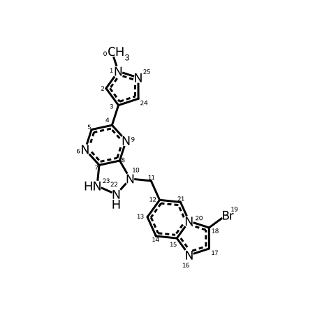 Cn1cc(-c2cnc3c(n2)N(Cc2ccc4ncc(Br)n4c2)NN3)cn1